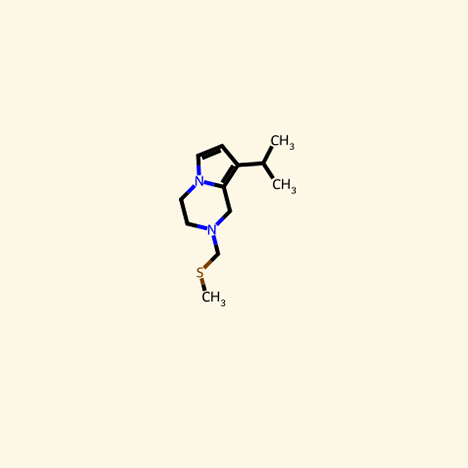 CSCN1CCn2ccc(C(C)C)c2C1